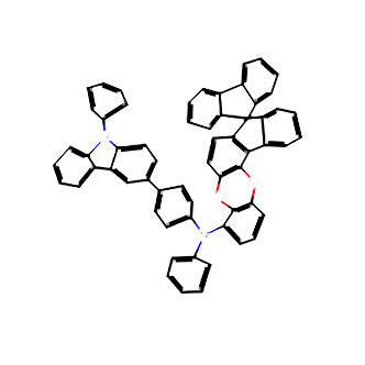 c1ccc(N(c2ccc(-c3ccc4c(c3)c3ccccc3n4-c3ccccc3)cc2)c2cccc3c2Oc2ccc4c(c2O3)-c2ccccc2C42c3ccccc3-c3ccccc32)cc1